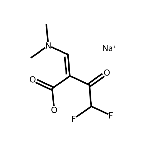 CN(C)C=C(C(=O)[O-])C(=O)C(F)F.[Na+]